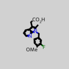 COc1ccc(Cn2c(C)c(CC(=O)O)c3cccnc32)cc1F